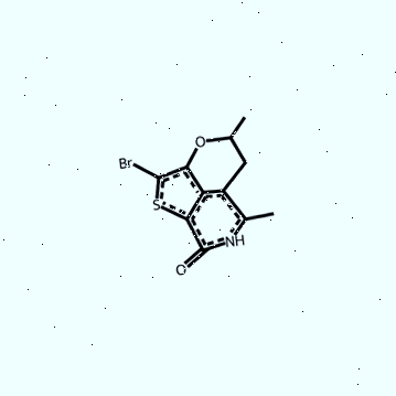 Cc1[nH]c(=O)c2sc(Br)c3c2c1CC(C)O3